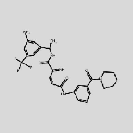 C[C@@H](NC(=O)C(=N)/C=C\C(=O)Nc1cccc(C(=O)N2CCOCC2)c1)c1cc(N)cc(C(F)(F)F)c1